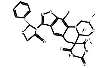 C[C@H]1CN2c3c(cc4c(N5C(=O)CO[C@@H]5c5ccccc5)noc4c3F)CC3(C(=O)NC(=O)NC3=O)[C@@H]2[C@@H](C)O1